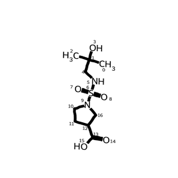 CC(C)(O)CNS(=O)(=O)N1CCC(C(=O)O)C1